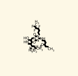 C=N/C(=C\C(C)C)C1=CNC(O)C(Cn2c(=O)nc(NC/C=C\C(=C/CC)OC)n(CC/C=C(F)\C(F)=C(/C)F)c2=O)=C1